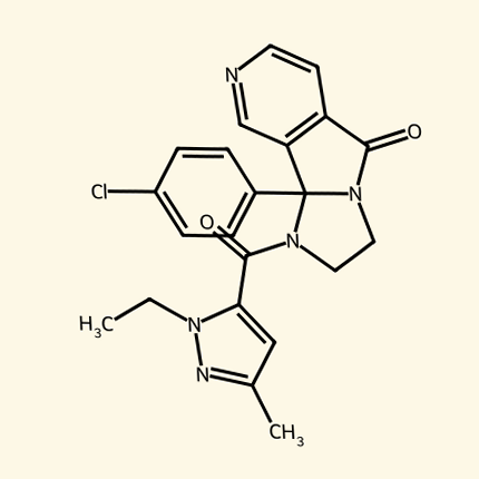 CCn1nc(C)cc1C(=O)N1CCN2C(=O)c3ccncc3C21c1ccc(Cl)cc1